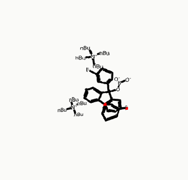 CCCC[N+](CCCC)(CCCC)CCCC.CCCC[N+](CCCC)(CCCC)CCCC.[O-]B([O-])OC(c1cccc(F)c1)(c1cccc(F)c1)c1ccccc1-c1cccc(F)c1